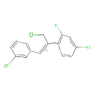 Fc1cc(Cl)ccc1/C(=C/c1cccc(Cl)c1)CCl